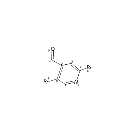 O=Cc1cc(Br)ncc1Br